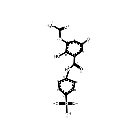 CC(=O)Oc1cc(O)cc(C(=O)Nc2ccc(S(=O)(=O)O)cc2)c1O